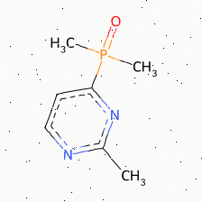 Cc1nccc(P(C)(C)=O)n1